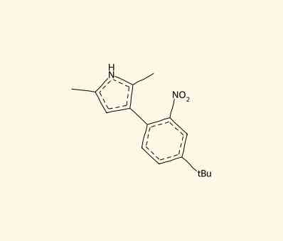 Cc1cc(-c2ccc(C(C)(C)C)cc2[N+](=O)[O-])c(C)[nH]1